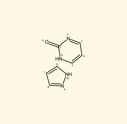 O=c1nccc[nH]1.c1cn[nH]c1